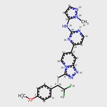 COc1ccc([C@H](Cc2nnc3cc(-c4ccnc(Nc5ccnn5C)n4)ccn23)C(F)F)cc1